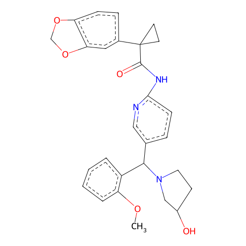 COc1ccccc1C(c1ccc(NC(=O)C2(c3ccc4c(c3)OCO4)CC2)nc1)N1CCC(O)C1